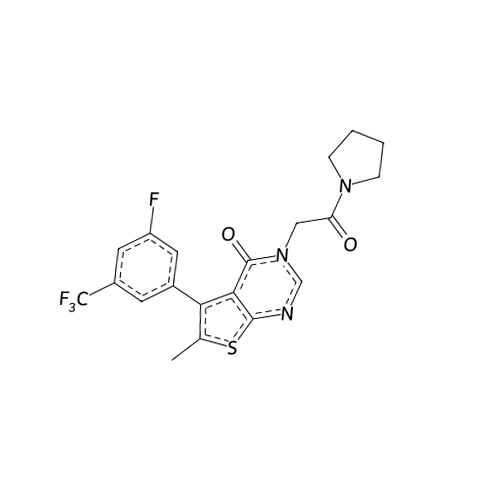 Cc1sc2ncn(CC(=O)N3CCCC3)c(=O)c2c1-c1cc(F)cc(C(F)(F)F)c1